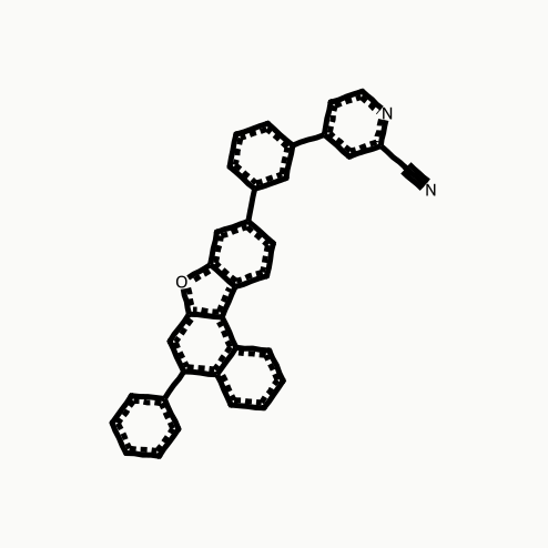 N#Cc1cc(-c2cccc(-c3ccc4c(c3)oc3cc(-c5ccccc5)c5ccccc5c34)c2)ccn1